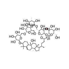 C[C@@H]1[C@@H](O)[C@H](OC[C@H]2O[C@@H](O[C@H](CC[C@@H](C)C3CC[C@@]4(C)C5CC=C6C(CC[C@H](O[C@@H]7O[C@H](CO[C@H]8O[C@H](CO)[C@@H](O)[C@H](O)[C@H]8O)[C@@H](O)[C@H](O)[C@H]7O)C6(C)C)[C@]5(C)[C@H](O)C[C@]34C)C(C)(C)O)[C@H](O[C@H]3O[C@@H](CO)[C@H](O)[C@@H](O)[C@@H]3O)[C@@H](O)[C@@H]2O)O[C@H](CO)[C@H]1O